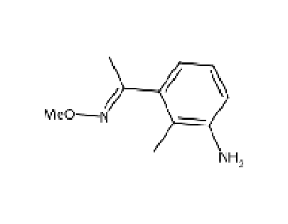 CON=C(C)c1cccc(N)c1C